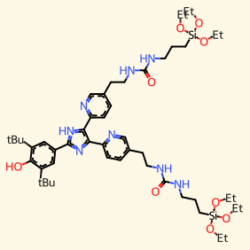 CCO[Si](CCCNC(=O)NCCc1ccc(-c2nc(-c3cc(C(C)(C)C)c(O)c(C(C)(C)C)c3)[nH]c2-c2ccc(CCNC(=O)NCCC[Si](OCC)(OCC)OCC)cn2)nc1)(OCC)OCC